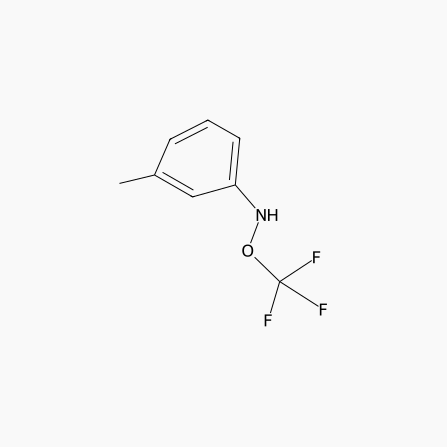 Cc1cccc(NOC(F)(F)F)c1